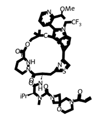 C=CC(=O)N1CCOC2(C1)CN(C(=O)N(C)[C@H](C(=O)N[C@H]1Cc3nc(cs3)-c3ccc4c(c3)c(c(-c3cccnc3[C@H](C)OC)n4CC(F)(F)F)CC(C)(C)COC(=O)[C@@H]3CCCN(N3)C1=O)C(C)C)C2